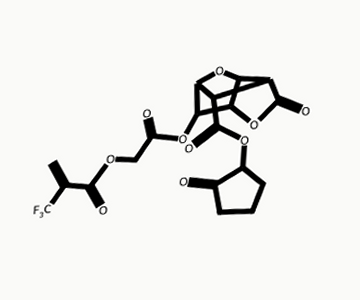 C=C(C(=O)OCC(=O)OC1C2OC(=O)C3C2OC1C3C(=O)OC1CCCC1=O)C(F)(F)F